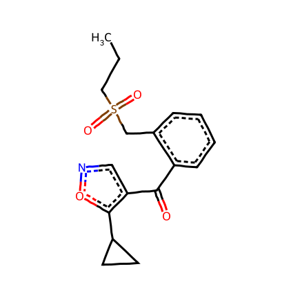 CCCS(=O)(=O)Cc1ccccc1C(=O)c1cnoc1C1CC1